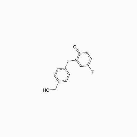 O=c1ccc(F)cn1Cc1ccc(CO)cc1